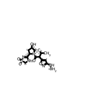 BBc1cc(C(C(=O)N2CC(O)CC2C2=NS(=O)(=O)CN2)C(C)C)on1